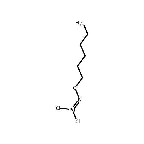 CCCCCCO[N]=[Pd]([Cl])[Cl]